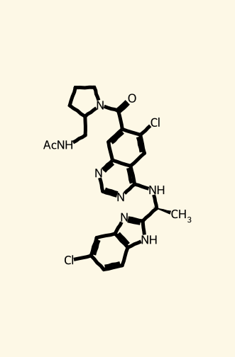 CC(=O)NCC1CCCN1C(=O)c1cc2ncnc(N[C@@H](C)c3nc4cc(Cl)ccc4[nH]3)c2cc1Cl